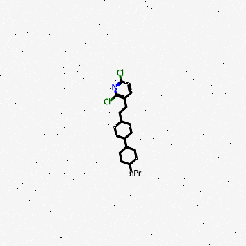 CCCC1CCC(C2CCC(CCc3ccc(Cl)nc3Cl)CC2)CC1